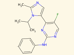 Cc1ncc(-c2nc(Nc3cc[c]cc3)ncc2F)n1C(C)C